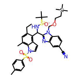 CCc1cc(C)c2c(ccn2S(=O)(=O)c2ccc(C)cc2)c1C(N[S+]([O-])C(C)(C)C)c1nc2cc(C#N)ccc2n1COCC[Si](C)(C)C